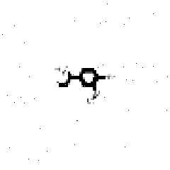 [CH2]C(CF)c1ccc(CCC)c(OCC)c1